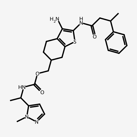 CC(CC(=O)Nc1sc2c(c1N)CCC(COC(=O)NC(C)c1ccnn1C)C2)c1ccccc1